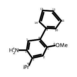 COc1cc(C(C)C)c(N)cc1-c1ccccc1